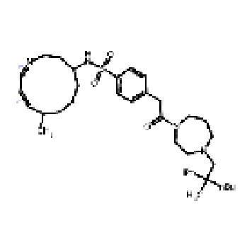 CCCCC(C)(CN1CCCN(C(=O)Cc2ccc(S(=O)(=O)NC3CCCC(C)/C=C\C=N/CC3)cc2)CC1)C(C)C